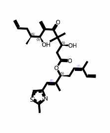 C=CC[C@H](C)[C@H](O)C(=C)C(=O)C(C)(C)[C@@H](O)CC(=O)O[C@@H](C/C=C(/C)C=C)/C(C)=C/c1csc(C)n1